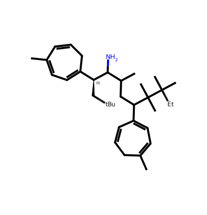 CCC(C)(C)C(C)(C)C(CC(C)C(N)[C@@H](CC(C)(C)C)C1=CC=C(C)C=CC1)C1=CC=C(C)CC=C1